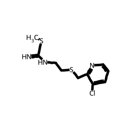 CSC(=N)NCCSCc1ncccc1Cl